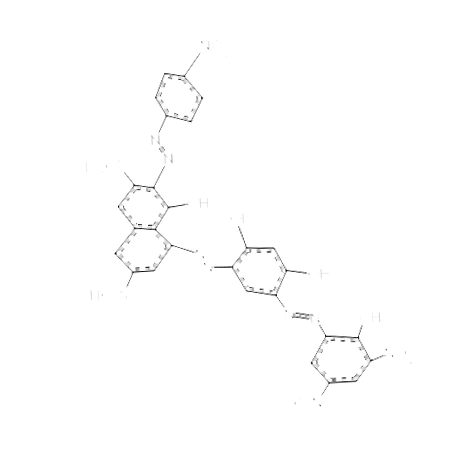 O=[N+]([O-])c1ccc(/N=N/c2c(S(=O)(=O)O)cc3cc(S(=O)(=O)O)cc(/N=N/c4cc(/N=N/c5cc([N+](=O)[O-])cc([N+](=O)[O-])c5O)c(O)cc4O)c3c2O)cc1